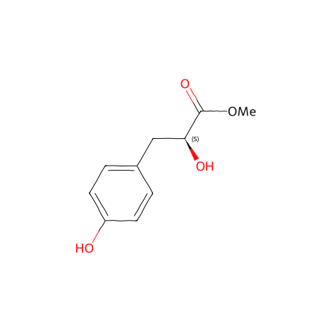 COC(=O)[C@@H](O)Cc1ccc(O)cc1